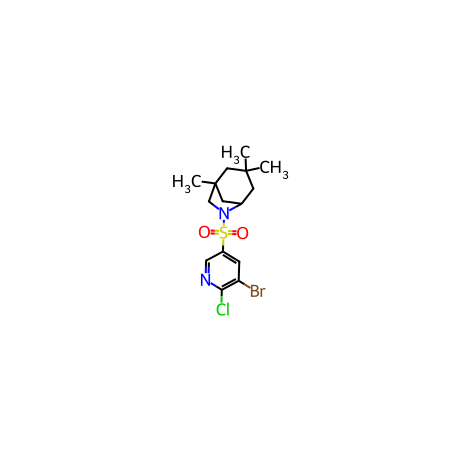 CC1(C)CC2CC(C)(CN2S(=O)(=O)c2cnc(Cl)c(Br)c2)C1